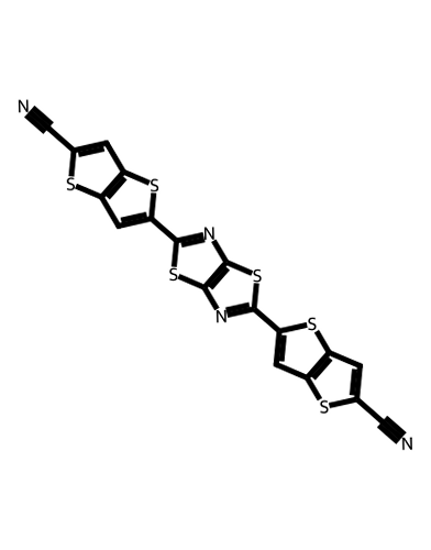 N#Cc1cc2sc(-c3nc4sc(-c5cc6sc(C#N)cc6s5)nc4s3)cc2s1